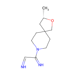 C[C@H]1CC2(CCN(C(=N)C=N)CC2)CO1